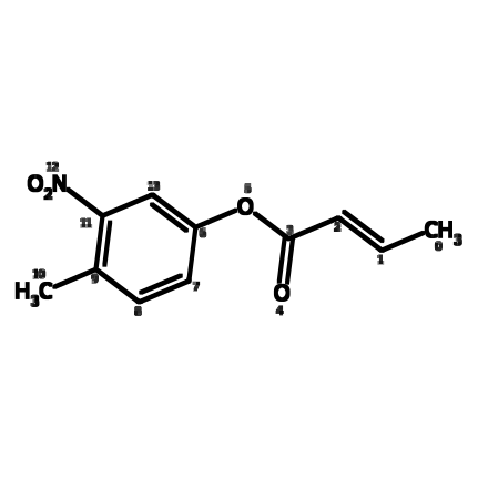 CC=CC(=O)Oc1ccc(C)c([N+](=O)[O-])c1